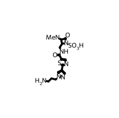 CNC1C(=O)N(S(=O)(=O)O)C1CNC(=O)c1cnc(-c2cnn(CCCN)c2)s1